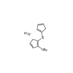 CCCCC1=[C]([Ti][C]2=CC=CC2)CC=C1.[H-].[H-]